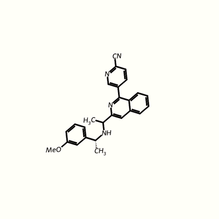 COc1cccc([C@@H](C)NC(C)c2cc3ccccc3c(-c3ccc(C#N)nc3)n2)c1